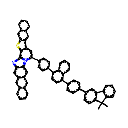 CC1(C)c2ccccc2-c2cc(-c3ccc(-c4ccc(-c5ccc(-c6cc7c8cc9ccccc9cc8sc7c7nc8cc9cc%10ccccc%10cc9cc8n67)cc5)c5ccccc45)cc3)ccc21